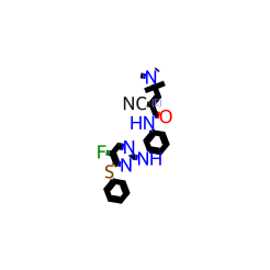 CN(C)C(C)(C)/C=C(\C#N)C(=O)Nc1cccc(Nc2ncc(F)c(Sc3ccccc3)n2)c1